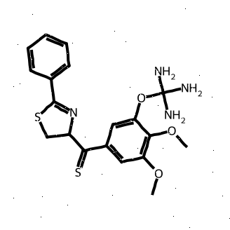 COc1cc(C(=S)C2CSC(c3ccccc3)=N2)cc(OC(N)(N)N)c1OC